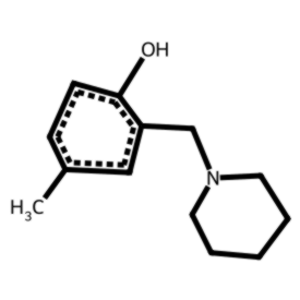 Cc1ccc(O)c(CN2CCCCC2)c1